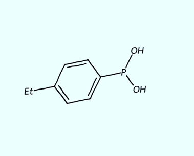 CCc1ccc(P(O)O)cc1